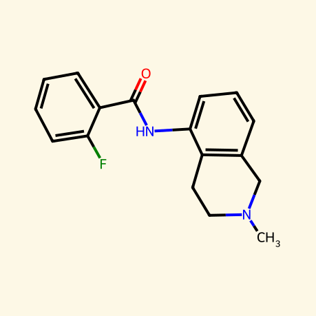 CN1CCc2c(cccc2NC(=O)c2ccccc2F)C1